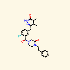 Cc1c(Cc2ccc(F)c(C(=O)N3CCN(CCc4ccccc4)C(=O)C3)c2)n[nH]c(=O)c1C